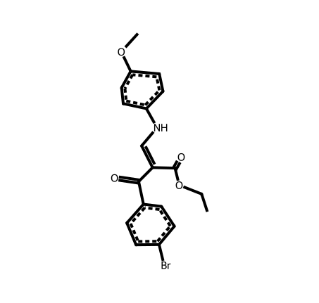 CCOC(=O)C(=CNc1ccc(OC)cc1)C(=O)c1ccc(Br)cc1